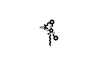 CCCCCCCN(C)C1C(OCc2ccccc2)CC(OCc2ccccc2)C1OCC(C)(O)C(C)CCCC